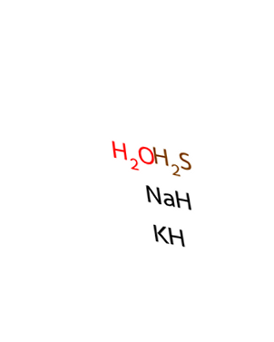 O.S.[KH].[NaH]